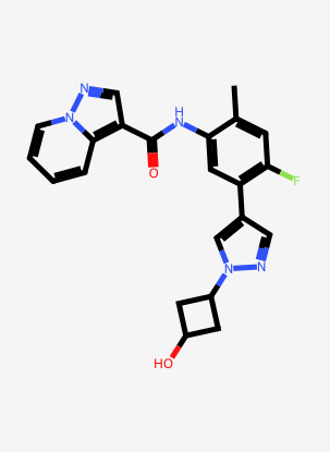 Cc1cc(F)c(-c2cnn(C3CC(O)C3)c2)cc1NC(=O)c1cnn2ccccc12